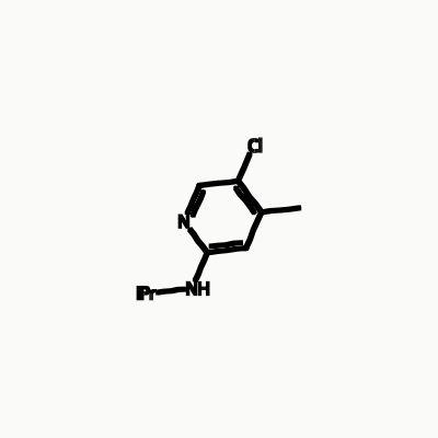 Cc1cc(NC(C)C)ncc1Cl